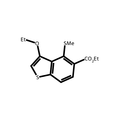 CCOC(=O)c1ccc2scc(OCC)c2c1SC